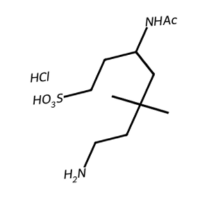 CC(=O)NC(CCS(=O)(=O)O)CC(C)(C)CCN.Cl